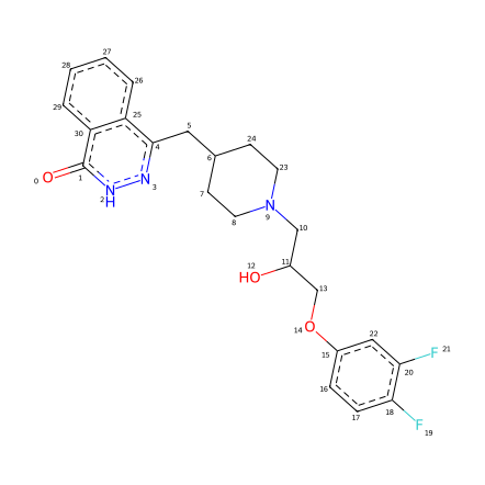 O=c1[nH]nc(CC2CCN(CC(O)COc3ccc(F)c(F)c3)CC2)c2ccccc12